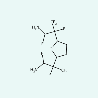 NC(F)C(F)(C1CCC(C(F)(C(N)F)C(F)(F)F)O1)C(F)(F)F